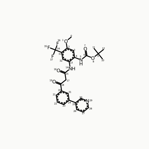 COc1cc(NC(=O)OC(C)(C)C)c(NC(=O)CC(=O)c2cccc(-c3cccnc3)c2)cc1C(F)(F)F